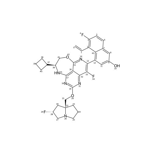 C=Cc1c(F)ccc2cc(O)cc(-c3nc4c5c(nc(OC[C@@]67CCCN6C[C@H](F)C7)nc5c3F)N[C@@H](C3CCC3)CO4)c12